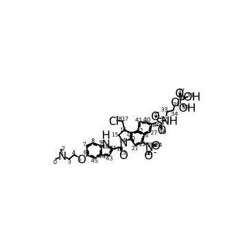 CN(C)CCOc1ccc2[nH]c(C(=O)N3CC(CCl)c4c3cc([N+](=O)[O-])c3cc(S(=O)(=O)NCCOP(=O)(O)O)ccc43)cc2c1